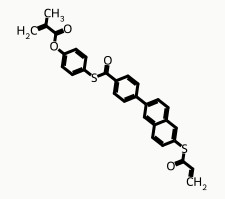 C=CC(=O)Sc1ccc2cc(-c3ccc(C(=O)Sc4ccc(OC(=O)C(=C)C)cc4)cc3)ccc2c1